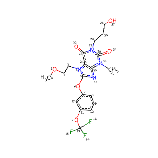 COCCn1c(Oc2cccc(OC(F)(F)F)c2)nc2c1c(=O)n(CCCO)c(=O)n2C